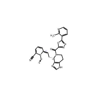 Cc1ncccc1-c1nnc(C(=O)N2CCc3[nH]cnc3[C@@H]2C/C=C2/C=CC=C(C#N)N2N=S)o1